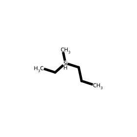 CCC[SiH](C)CC